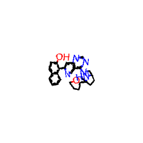 Oc1ccc2ccccc2c1-c1cc2ncnc(N3CC4CCC(C5CCCO5)(C3)N4)c2cn1